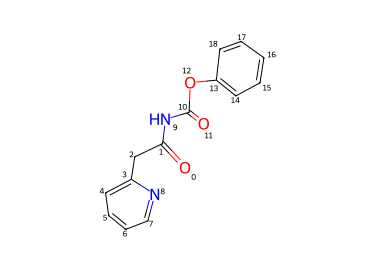 O=C(Cc1ccccn1)NC(=O)Oc1ccccc1